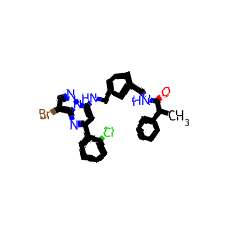 CC(C(=O)NCc1cccc(CNc2cc(-c3ccccc3Cl)nc3c(Br)cnn23)c1)c1ccccc1